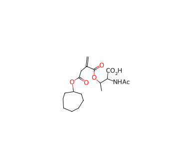 C=C(CC(=O)OC1CCCCCCC1)C(=O)OC(C)C(NC(C)=O)C(=O)O